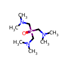 CN(C)CP(=O)(CN(C)C)CN(C)C